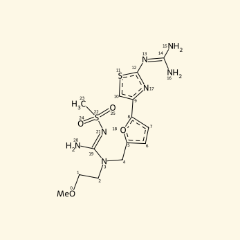 COCCN(Cc1ccc(-c2csc(N=C(N)N)n2)o1)C(N)=NS(C)(=O)=O